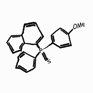 COc1ccc([P@@](=S)(c2ccccc2)c2cccc3ccccc23)cc1